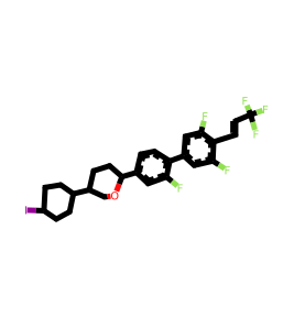 Fc1cc(C2CCC(C3CCC(I)CC3)CO2)ccc1-c1cc(F)c(/C=C/C(F)(F)F)c(F)c1